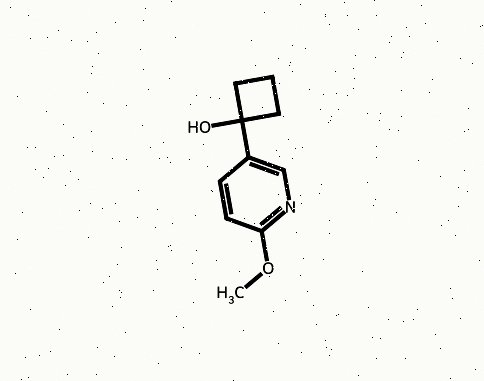 COc1ccc(C2(O)CCC2)cn1